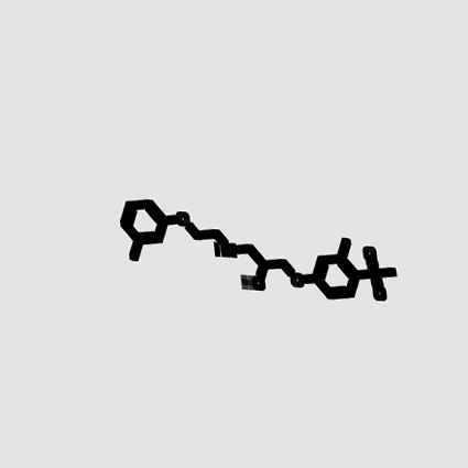 Cc1cccc(OCCNCC(O)COc2ccc(S(C)(=O)=O)c(C)c2)c1